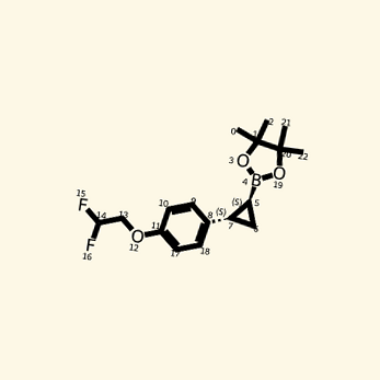 CC1(C)OB([C@H]2C[C@@H]2c2ccc(OCC(F)F)cc2)OC1(C)C